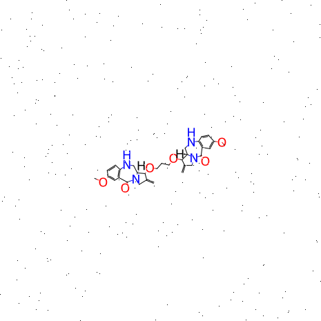 C=C1CN2C(=O)c3cc(OC)ccc3NC[C@H]2C1OCCCOC1C(=C)CN2C(=O)c3cc(OC)ccc3NC[C@@H]12